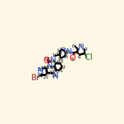 Cc1ncc(Cl)cc1C(=O)NC1CCC(Cn2c(=O)n(-c3cnc(Br)cc3C#N)c3ccccc32)CC1